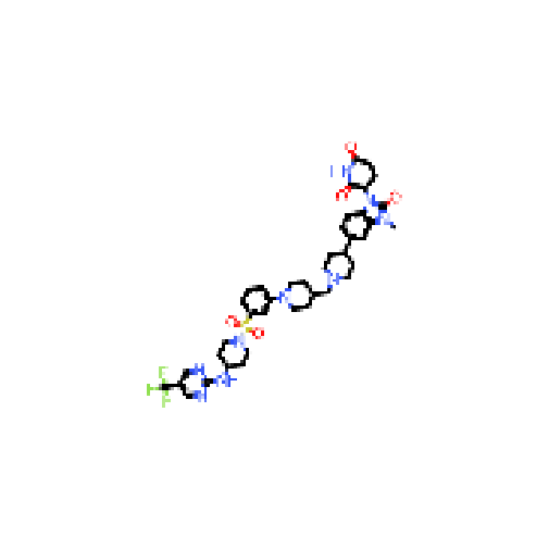 Cn1c(=O)n(C2CCC(=O)NC2=O)c2ccc(C3CCN(CC4CCN(c5cccc(S(=O)(=O)N6CCC(Nc7ncc(C(F)(F)F)cn7)CC6)c5)CC4)CC3)cc21